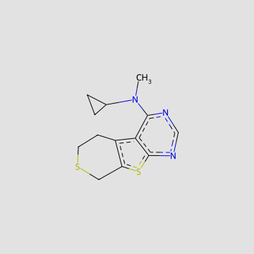 CN(c1ncnc2sc3c(c12)CCSC3)C1CC1